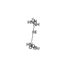 CC1(C)CN=C(NCCCCCCCCCCCCNC(=O)OC(C)(C)C)NC1.I